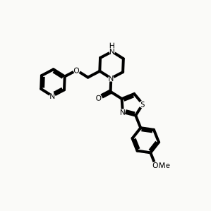 COc1ccc(-c2nc(C(=O)N3CCNCC3COc3cccnc3)cs2)cc1